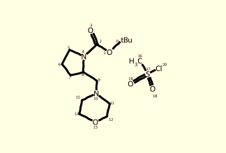 CC(C)(C)OC(=O)N1CCCC1CN1CCOCC1.CS(=O)(=O)Cl